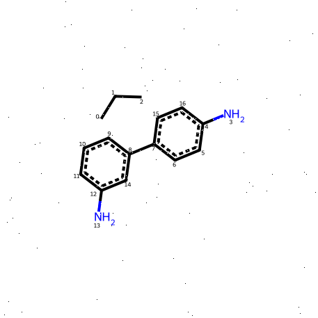 CCC.Nc1ccc(-c2cccc(N)c2)cc1